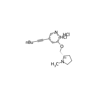 CCCCC#Cc1cncc(OC[C@@H]2CCCN2C)c1.Cl.Cl